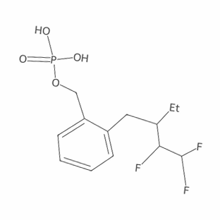 CCC(Cc1ccccc1COP(=O)(O)O)C(F)C(F)F